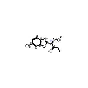 CCC(=O)/C(=N\OC)c1nc2ccc(Cl)cc2o1